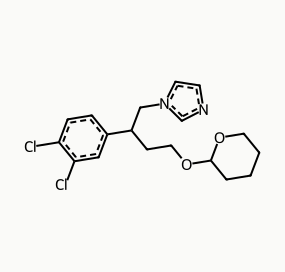 Clc1ccc(C(CCOC2CCCCO2)Cn2ccnc2)cc1Cl